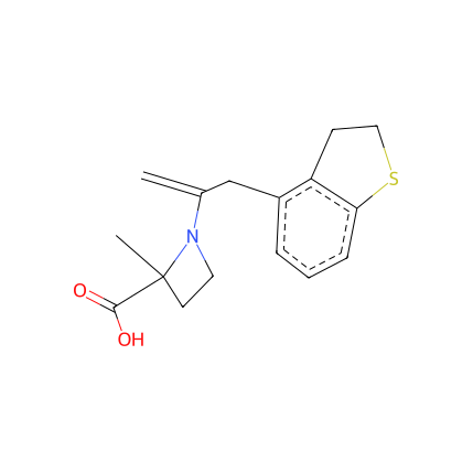 C=C(Cc1cccc2c1CCS2)N1CCC1(C)C(=O)O